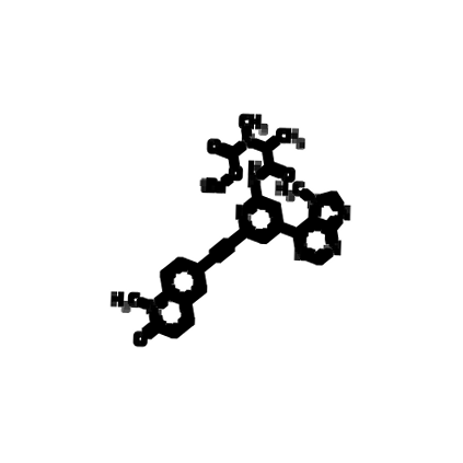 CC(C(=O)Nc1cc(-c2ncnc3ncn(C)c23)cc(C#Cc2ccc3c(ccc(=O)n3C)c2)n1)N(C)C(=O)OC(C)(C)C